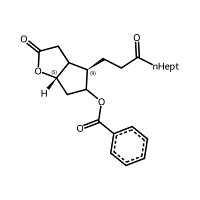 CCCCCCCC(=O)CC[C@H]1C(OC(=O)c2ccccc2)C[C@@H]2OC(=O)CC12